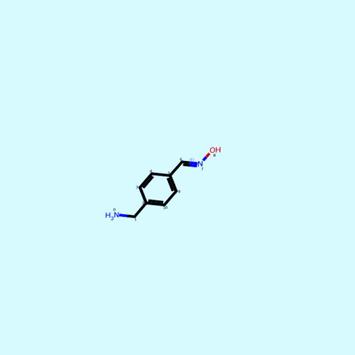 NCc1ccc(/C=N/O)cc1